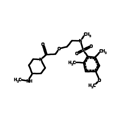 CNC1CCN(C(=O)COCCN(C)S(=O)(=O)c2c(C)cc(OC)cc2C)CC1